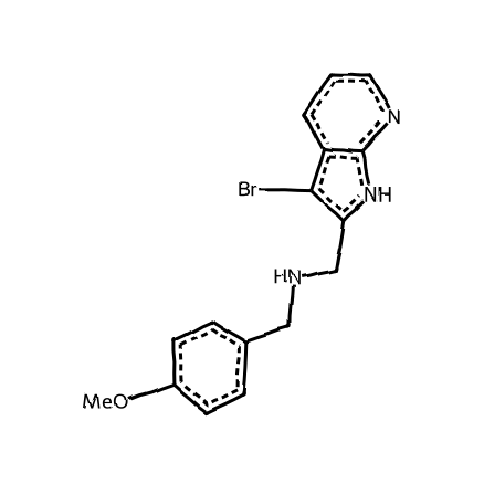 COc1ccc(CNCc2[nH]c3ncccc3c2Br)cc1